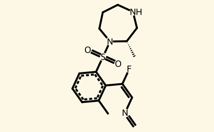 C=N/C=C(/F)c1c(C)cccc1S(=O)(=O)N1CCCNC[C@@H]1C